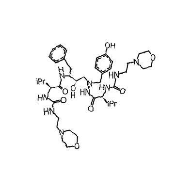 CC(C)[C@H](NC(=O)NCCN1CCOCC1)C(=O)N[C@@H](Cc1ccccc1)[C@@H](O)CN(Cc1ccc(O)cc1)NC(=O)[C@@H](NC(=O)NCCN1CCOCC1)C(C)C